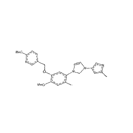 [CH2]c1cc(OC)c(OCc2ccc(OC)nc2)cc1N1C=CN(c2cnn(C)c2)C1